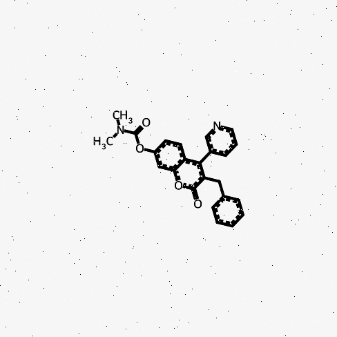 CN(C)C(=O)Oc1ccc2c(-c3cccnc3)c(Cc3ccccc3)c(=O)oc2c1